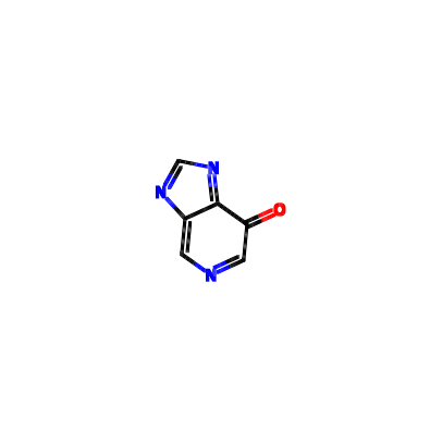 O=C1C=NC=C2N=CN=C12